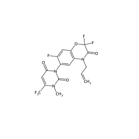 C=CCN1C(=O)C(F)(F)Oc2cc(F)c(-n3c(=O)cc(C(F)(F)F)n(C)c3=O)cc21